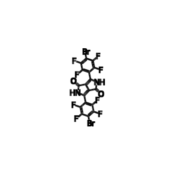 O=C1NC(c2c(F)c(F)c(Br)c(F)c2F)=C2C(=O)NC(c3c(F)c(F)c(Br)c(F)c3F)=C12